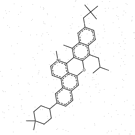 Cc1c2c(c(CC(C)C)c3ccc(CC(C)(C)C)cc13)Oc1cc3ccc(C4CCC(C)(C)CC4)cc3c3cc[n+](C)c-2c13